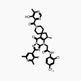 Cc1cc(-c2nc3n(CC(=O)Nc4ccc(C(F)(F)F)cc4Cl)c4c(c(=O)n3n2)C2(CCN(C(=O)c3ncnc(C)c3O)CC2)C[C@H]4C)c(F)c(C)n1